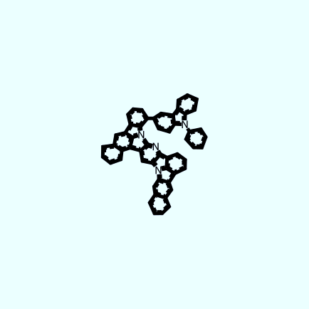 c1ccc(-n2c3ccccc3c3cc(-c4cccc5c6cc7ccccc7c7c8cc9c(nc8n(c45)c67)c4cccc5c6cc7ccccc7cc6n9c54)ccc32)cc1